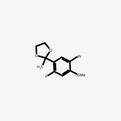 COc1cc(F)c(C2(C)OCCO2)cc1C(C)C